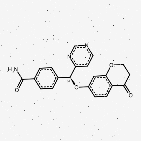 NC(=O)c1ccc([C@H](Oc2ccc3c(c2)OCCC3=O)c2ccncn2)cc1